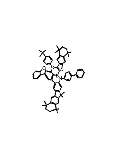 CC(C)(C)c1ccc(N2c3c(sc4cc5c(cc34)C(C)(C)CCC5(C)C)B3c4c(cc5c(oc6ccccc65)c42)-c2cc4c(cc2N3c2ccc(-c3ccccc3)cc2)C(C)(C)c2cc3c(cc2-4)C(C)(C)CCC3(C)C)cc1